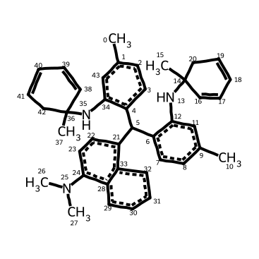 Cc1ccc(C(c2ccc(C)cc2NC2(C)C=CC=CC2)c2ccc(N(C)C)c3ccccc23)c(NC2(C)C=CC=CC2)c1